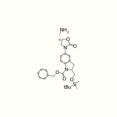 CC(C)(C)[Si](C)(C)OCC1Cc2cc(N3C[C@H](CN)OC3=O)ccc2N1C(=O)OCc1ccccc1